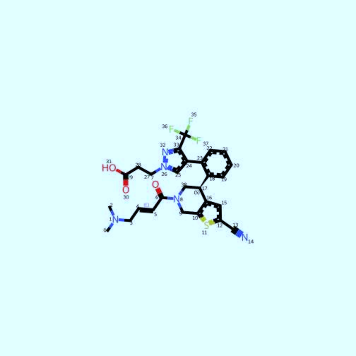 CN(C)C/C=C/C(=O)N1Cc2sc(C#N)cc2[C@H](c2ccccc2-c2cn(CCC(=O)O)nc2C(F)(F)F)C1